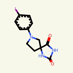 O=C1NC(=O)C2(CCN(c3ccc(I)cc3)C2)N1